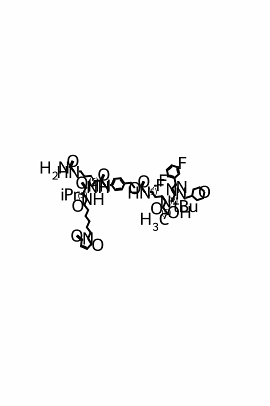 CC(C)[C@H](NC(=O)CCCCCN1C(=O)C=CC1=O)C(=O)N[C@@H](CCCNC(N)=O)C(=O)Nc1ccc(COC(=O)N[C@H](CF)CCN(C(=O)[C@H](C)O)[C@@H](c2nc(-c3cc(F)ccc3F)nn2CC2CCOCC2)C(C)(C)C)cc1